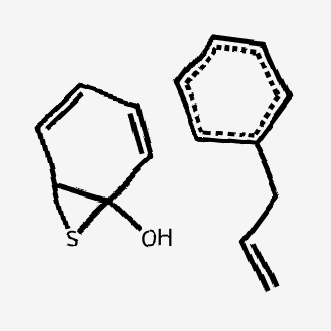 C=CCc1ccccc1.OC12C=CC=CC1S2